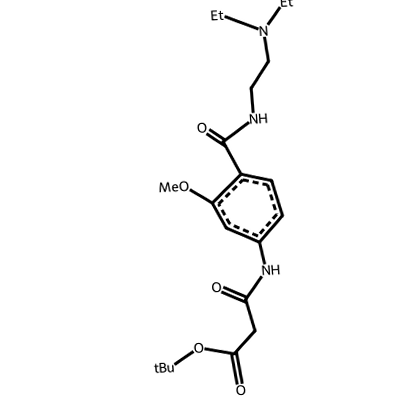 CCN(CC)CCNC(=O)c1ccc(NC(=O)CC(=O)OC(C)(C)C)cc1OC